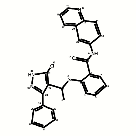 CC(Sc1ccccc1C(=O)Nc1ccc2ncccc2c1)c1c(-c2ccccc2)n[nH]c1Cl